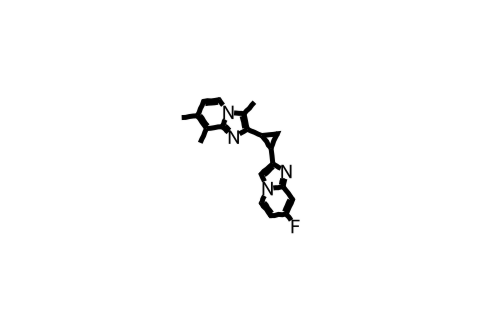 Cc1ccn2c(C)c(C3CC3c3cn4ccc(F)cc4n3)nc2c1C